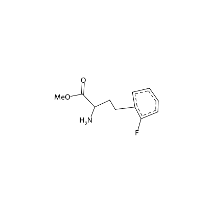 COC(=O)C(N)CCc1ccccc1F